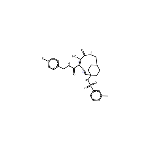 Cc1cccc(S(=O)(=O)NC23/C=N/C(C(=O)NCc4ccc(F)cc4)=C(/O)C(=O)NCC(CC2)CC3)c1